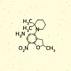 CC1Cc2c(N3CCCCC3(C)C)ccc([N+](=O)[O-])c2O1.N